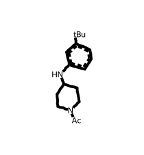 CC(=O)N1CCC(Nc2cccc(C(C)(C)C)c2)CC1